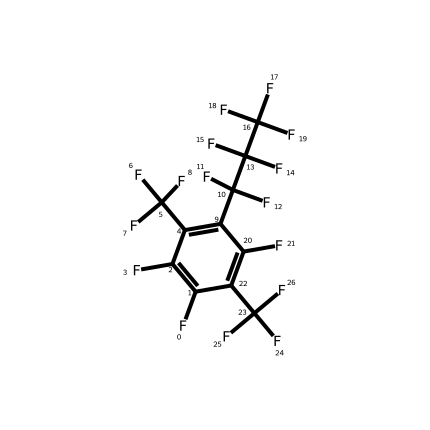 Fc1c(F)c(C(F)(F)F)c(C(F)(F)C(F)(F)C(F)(F)F)c(F)c1C(F)(F)F